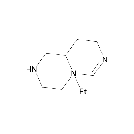 CC[N+]12C=NCCC1CNCC2